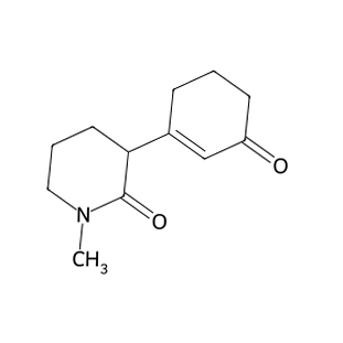 CN1CCCC(C2=CC(=O)CCC2)C1=O